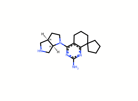 Nc1nc(N2CC[C@@H]3CNC[C@@H]32)c2c(n1)C1(CCCC1)CCC2